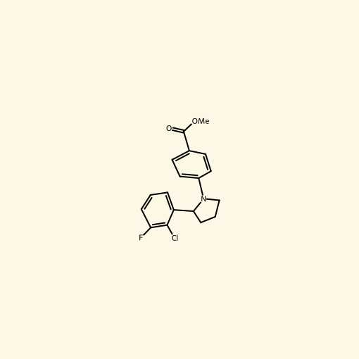 COC(=O)c1ccc(N2CCCC2c2cccc(F)c2Cl)cc1